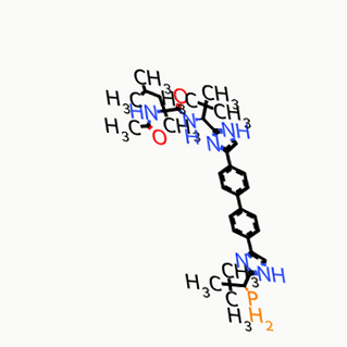 CC(=O)NC(C)(CC(C)C)C(=O)N[C@H](c1nc(-c2ccc(-c3ccc(-c4c[nH]c([C@@H](P)C(C)(C)C)n4)cc3)cc2)c[nH]1)C(C)(C)C